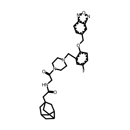 O=C(CC12CC3CC(C1)C(C3)C2)NCC(=O)N1CCN(Cc2cc(F)ccc2OCc2ccc3nonc3c2)CC1